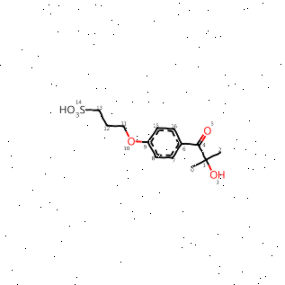 CC(C)(O)C(=O)c1ccc(OCCCS(=O)(=O)O)cc1